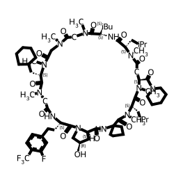 CC[C@H](C)[C@@H]1NC(=O)[C@H](CC(C)C)N(C)C(=O)C[C@@H](C(=O)N2CCCCC2)N(C)C(=O)[C@H](CC(C)C)N(C)C(=O)C2(CCCC2)NC(=O)[C@@H]2C[C@@H](O)CN2C(=O)[C@H](CCc2ccc(C(F)(F)F)c(F)c2)NC(=O)CN(C)C(=O)[C@H](CC2CCCCC2)N(C)C(=O)CN(C)C(=O)CN(C)C1=O